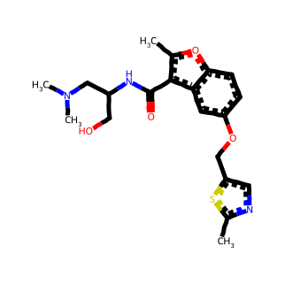 Cc1ncc(COc2ccc3oc(C)c(C(=O)NC(CO)CN(C)C)c3c2)s1